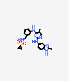 Cc1nc2cc(Nc3ncc(C)c(Nc4cccc(CNS(=O)(=O)C5CC5)c4)n3)ccc2[nH]1